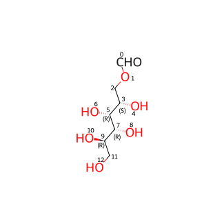 O=COC[C@H](O)[C@@H](O)[C@H](O)[C@H](O)CO